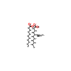 CCCCCCCCCCC(=O)[O-].CCCCCCCCCCC(=O)[O-].[Mn+2]